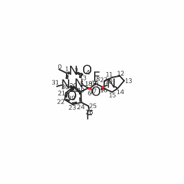 Cc1nc(=O)n(C[C@H](F)CN2C3CCC2CC(OCc2ccccc2CF)C3)c(=O)n1C